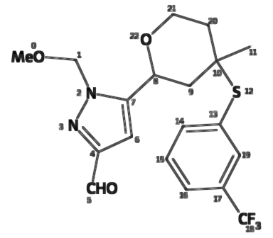 COCn1nc(C=O)cc1C1CC(C)(Sc2cccc(C(F)(F)F)c2)CCO1